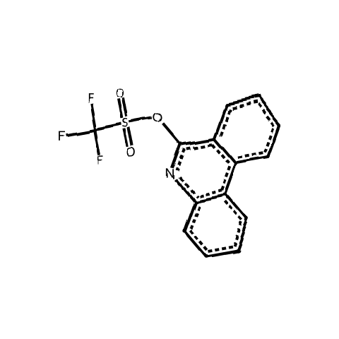 O=S(=O)(Oc1nc2ccccc2c2ccccc12)C(F)(F)F